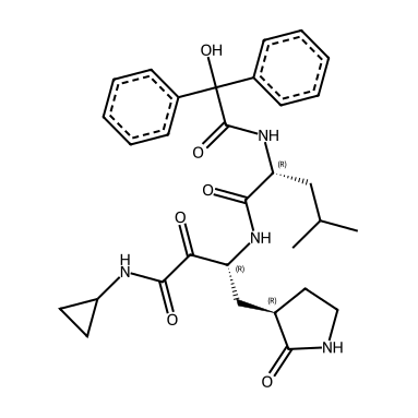 CC(C)C[C@@H](NC(=O)C(O)(c1ccccc1)c1ccccc1)C(=O)N[C@H](C[C@H]1CCNC1=O)C(=O)C(=O)NC1CC1